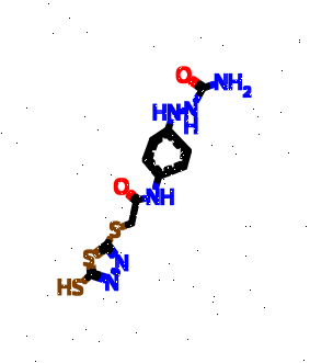 NC(=O)NNc1ccc(NC(=O)CSc2nnc(S)s2)cc1